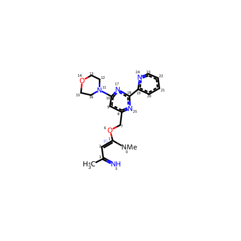 CN/C(=C\C(C)=N)OCc1cc(N2CCOCC2)nc(-c2ccccn2)n1